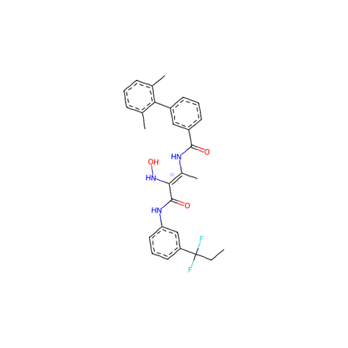 CCC(F)(F)c1cccc(NC(=O)/C(NO)=C(\C)NC(=O)c2cccc(-c3c(C)cccc3C)c2)c1